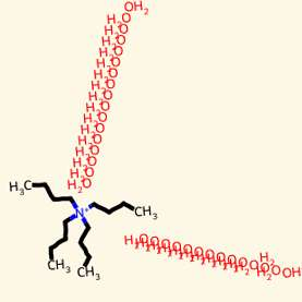 CCCC[N+](CCCC)(CCCC)CCCC.O.O.O.O.O.O.O.O.O.O.O.O.O.O.O.O.O.O.O.O.O.O.O.O.O.O.O.O.O.O.[OH-]